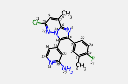 Cc1cc(-c2nc3c(C)cc(Cl)nn3c2-c2ccnc(N)c2)ccc1F